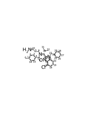 Cc1ccc(C(=O)N(CCCN)[C@@H](c2nc3c(Cl)cccc3n2Cc2ccccc2)C(C)C)cc1